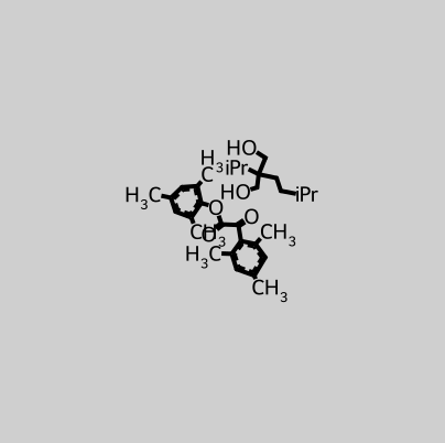 CC(C)CCC(CO)(CO)C(C)C.Cc1cc(C)c(OC(=O)C(=O)c2c(C)cc(C)cc2C)c(C)c1